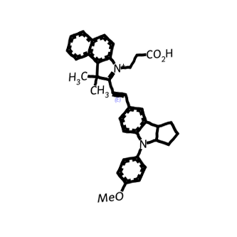 COc1ccc(N2c3ccc(/C=C/C4=[N+](CCC(=O)O)c5ccc6ccccc6c5C4(C)C)cc3C3CCCC32)cc1